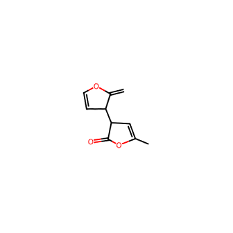 C=C1OC=CC1C1C=C(C)OC1=O